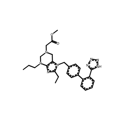 CCCN1CN(CC(=O)OC)Cc2c1nc(CC)n2Cc1ccc(-c2ccccc2-c2nnn[nH]2)cc1